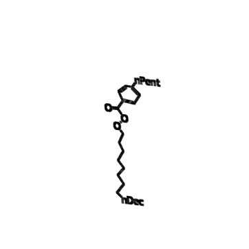 [CH2]CCCCCCCCCCCCCCCCCOOC(=O)c1ccc(CCCCC)cc1